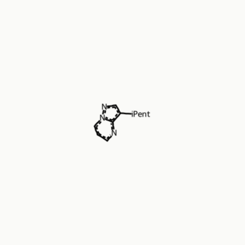 CCCC(C)c1cnn2cccnc12